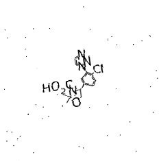 CC1(C)OC[C@H](c2ccc(Cl)c(-n3ccnn3)c2)N1C(=O)O